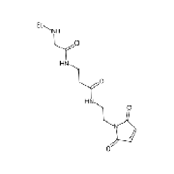 CCNCC(=O)NCCC(=O)NCCN1C(=O)C=CC1=O